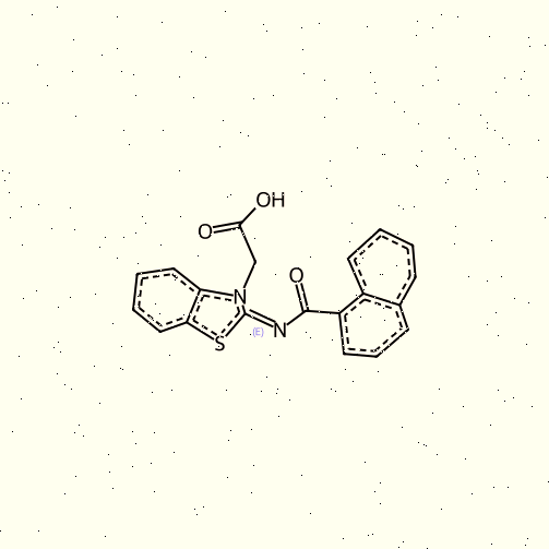 O=C(O)Cn1/c(=N\C(=O)c2cccc3ccccc23)sc2ccccc21